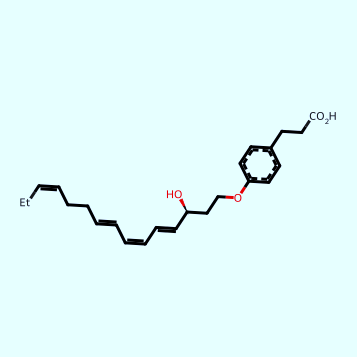 CC/C=C\CC/C=C/C=C\C=C\[C@@H](O)CCOc1ccc(CCC(=O)O)cc1